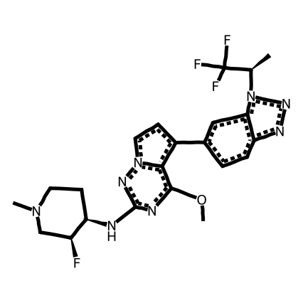 COc1nc(N[C@@H]2CCN(C)C[C@@H]2F)nn2ccc(-c3ccc4nnn([C@H](C)C(F)(F)F)c4c3)c12